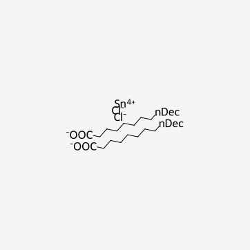 CCCCCCCCCCCCCCCCCC(=O)[O-].CCCCCCCCCCCCCCCCCC(=O)[O-].[Cl-].[Cl-].[Sn+4]